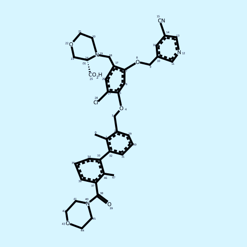 Cc1c(COc2cc(OCc3cncc(C#N)c3)c(CN3CCOC[C@H]3C(=O)O)cc2Cl)cccc1-c1cccc(C(=O)N2CCOCC2)c1C